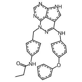 CCC(=O)Nc1ccc(CN2N=C(Nc3ccc(Oc4ccccc4)cc3)c3c[nH]c4ncnc2c34)cc1